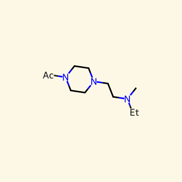 CCN(C)CCN1CCN(C(C)=O)CC1